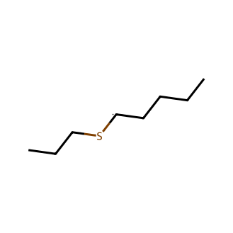 CCCC[CH]SCCC